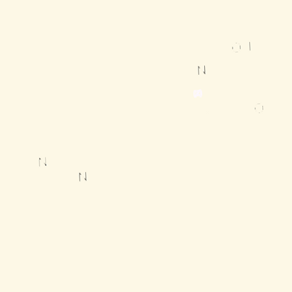 COC/C(=N\O)c1ccc(-n2cccn2)cc1